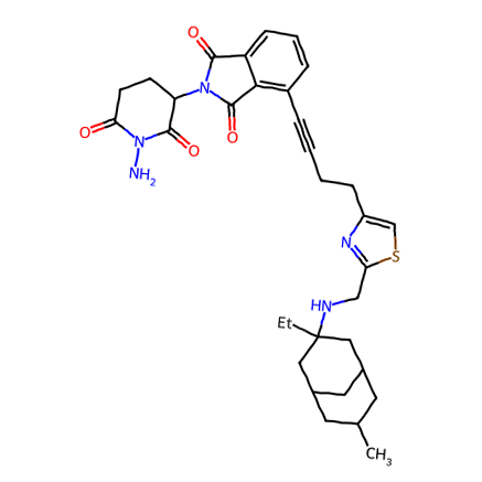 CCC1(NCc2nc(CCC#Cc3cccc4c3C(=O)N(C3CCC(=O)N(N)C3=O)C4=O)cs2)CC2CC(C)CC(C2)C1